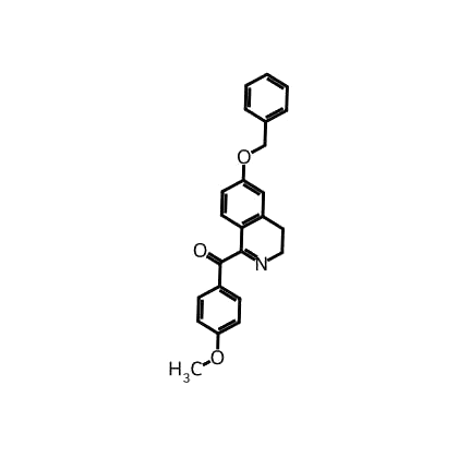 COc1ccc(C(=O)C2=NCCc3cc(OCc4ccccc4)ccc32)cc1